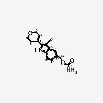 Cc1c(C2=CCOCC2)[nH]c2ccc(COC(N)=O)cc12